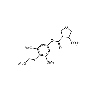 COCOc1c(OC)cc(OC(=O)C2COCC2C(=O)O)cc1OC